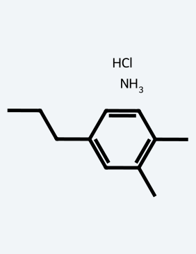 CCCc1ccc(C)c(C)c1.Cl.N